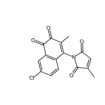 CC1=CC(=O)N(C2=C(C)C(=O)C(=O)c3cc(Cl)ccc32)C1=O